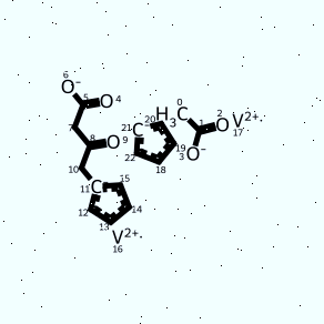 CC(=O)[O-].O=C([O-])CC(=O)C[c-]1cccc1.[V+2].[V+2].c1cc[cH-]c1